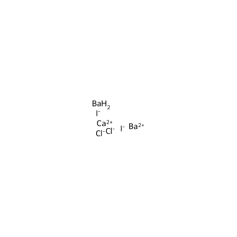 [Ba+2].[BaH2].[Ca+2].[Cl-].[Cl-].[I-].[I-]